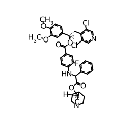 COc1ccc([C@H](Cc2c(Cl)cncc2Cl)OC(=O)c2ccc(NC(C(=O)O[C@H]3CN4CCC3CC4)c3ccccc3)c(F)c2)cc1OC